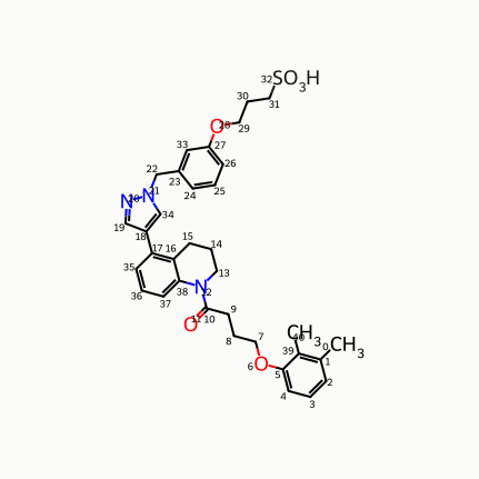 Cc1cccc(OCCCC(=O)N2CCCc3c(-c4cnn(Cc5cccc(OCCCS(=O)(=O)O)c5)c4)cccc32)c1C